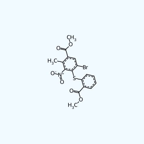 COC(=O)c1ccccc1Sc1c(Br)cc(C(=O)OC)c(C)c1[N+](=O)[O-]